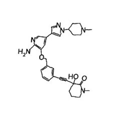 CN1CCC(n2cc(-c3cnc(N)c(OCc4cccc(C#CC5(O)CCCN(C)C5=O)c4)c3)cn2)CC1